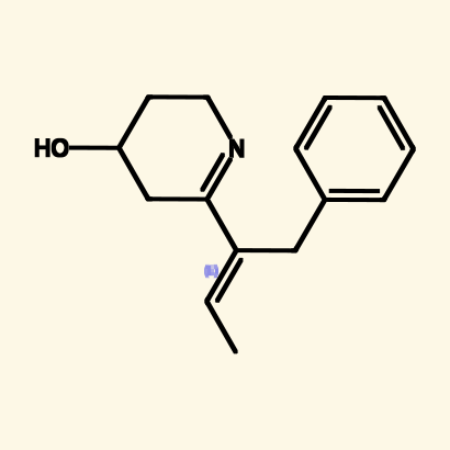 C/C=C(\Cc1ccccc1)C1=NCCC(O)C1